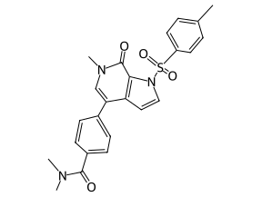 Cc1ccc(S(=O)(=O)n2ccc3c(-c4ccc(C(=O)N(C)C)cc4)cn(C)c(=O)c32)cc1